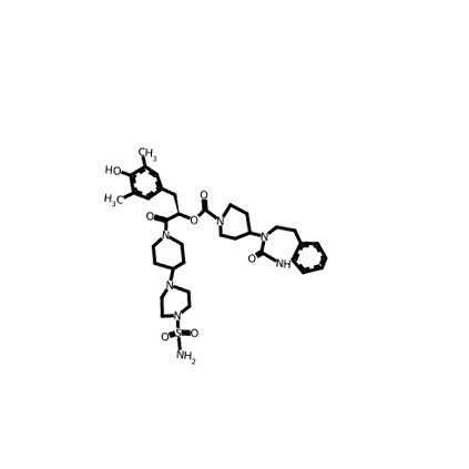 Cc1cc(C[C@@H](OC(=O)N2CCC(N3CCc4ccccc4NC3=O)CC2)C(=O)N2CCC(N3CCN(S(N)(=O)=O)CC3)CC2)cc(C)c1O